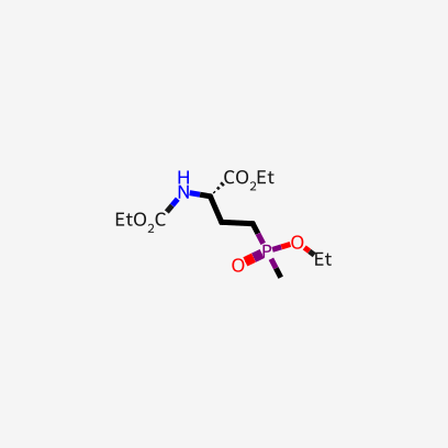 CCOC(=O)N[C@@H](CCP(C)(=O)OCC)C(=O)OCC